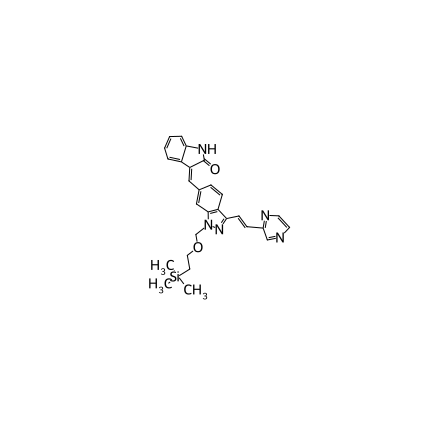 C[Si](C)(C)CCOCn1nc(C=Cc2cnccn2)c2ccc(C=C3C(=O)Nc4ccccc43)cc21